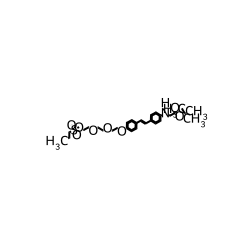 CCCS(=O)(=O)OCCOCCOCCOc1ccc(/C=C/c2ccc(NCC(=O)OC(C)(C)C)cc2)cc1